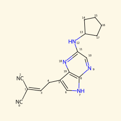 N#CC(C#N)=CCc1c[nH]c2ncc(NC3CCCC3)nc12